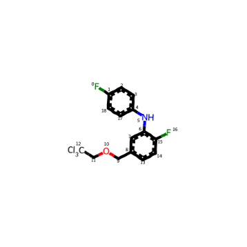 Fc1ccc(Nc2cc(COCC(Cl)(Cl)Cl)ccc2F)cc1